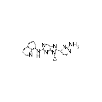 Nc1nccc(-c2nc3cnc(Nc4cccc5cccnc45)nc3n2C2CC2)n1